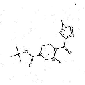 C[C@H]1CN(C(=O)OC(C)(C)C)CCN1C(=O)c1cn(C)nn1